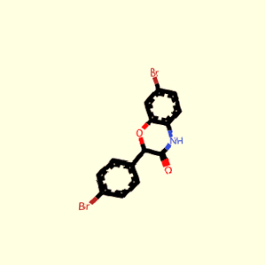 O=C1Nc2ccc(Br)cc2OC1c1ccc(Br)cc1